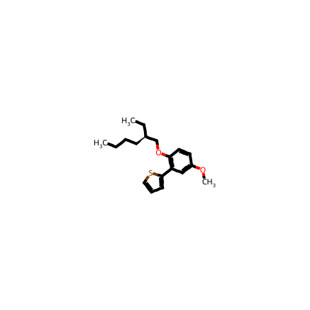 CCCC[C@@H](CC)COc1ccc(OC)cc1-c1cccs1